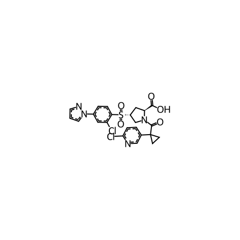 O=C(O)[C@@H]1C[C@@H](S(=O)(=O)c2ccc(-n3cccn3)cc2Cl)CN1C(=O)C1(c2ccc(Cl)nc2)CC1